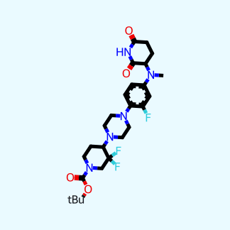 CN(c1ccc(N2CCN(C3CCN(C(=O)OC(C)(C)C)CC3(F)F)CC2)c(F)c1)C1CCC(=O)NC1=O